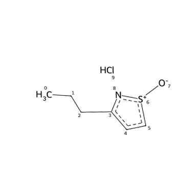 CCCc1cc[s+]([O-])n1.Cl